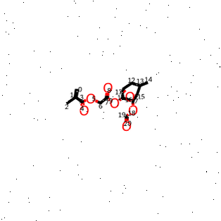 C=C(C)C(=O)OCC(=O)OC1C2CC(C)C(O2)C1OC=O